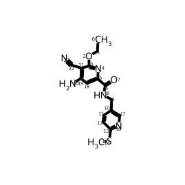 CCOc1nc(C(=O)NCc2ccc(SC)nc2)cc(N)c1C#N